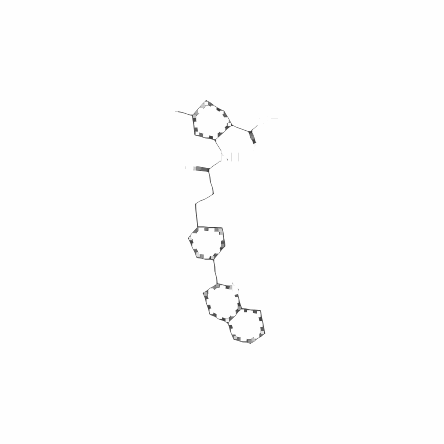 O=C(CCc1ccc(-c2ccc3ccccc3n2)cc1)Nc1cc(Cl)ccc1C(=O)O